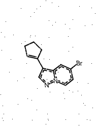 Brc1ccn2ncc(C3=CCCC3)c2c1